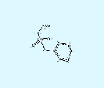 CNNS(=O)(=O)Cc1ccccn1